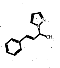 CC(C=Cc1ccccc1)n1cccn1